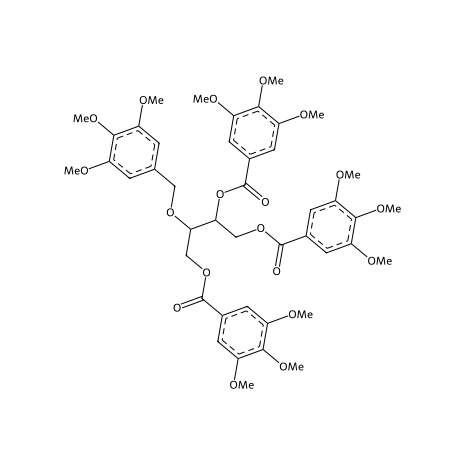 COc1cc(COC(COC(=O)c2cc(OC)c(OC)c(OC)c2)C(COC(=O)c2cc(OC)c(OC)c(OC)c2)OC(=O)c2cc(OC)c(OC)c(OC)c2)cc(OC)c1OC